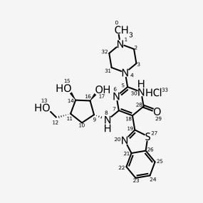 CN1CCN(c2nc(N[C@@H]3C[C@H](CO)[C@@H](O)[C@H]3O)c(-c3nc4ccccc4s3)c(=O)[nH]2)CC1.Cl